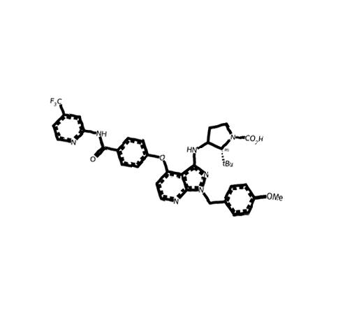 COc1ccc(Cn2nc(NC3CCN(C(=O)O)[C@@H]3C(C)(C)C)c3c(Oc4ccc(C(=O)Nc5cc(C(F)(F)F)ccn5)cc4)ccnc32)cc1